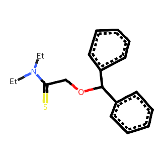 CCN(CC)C(=S)COC(c1ccccc1)c1ccccc1